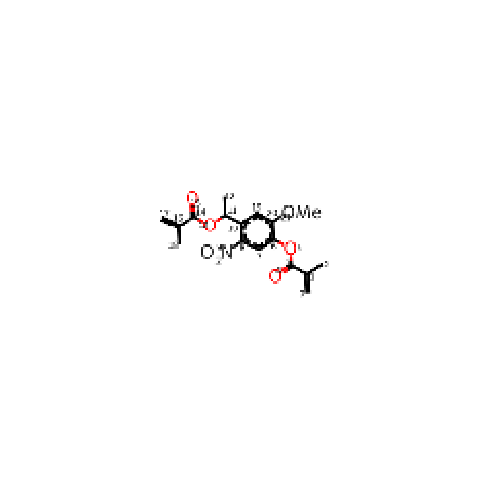 C=C(C)C(=O)Oc1cc([N+](=O)[O-])c(C(C)OC(=O)C(=C)C)cc1OC